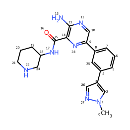 Cn1cc(-c2cccc(-c3cnc(N)c(C(=O)NC4CCCNC4)n3)c2)cn1